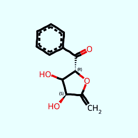 C=C1O[C@@H](C(=O)c2ccccc2)C(O)[C@@H]1O